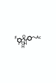 CC(=O)CCc1ccc(NC(=O)c2cc(F)cc(C)c2O)cc1